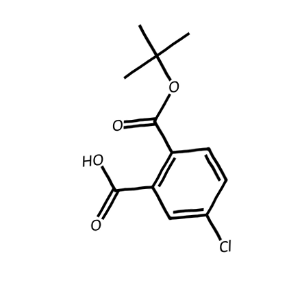 CC(C)(C)OC(=O)c1ccc(Cl)cc1C(=O)O